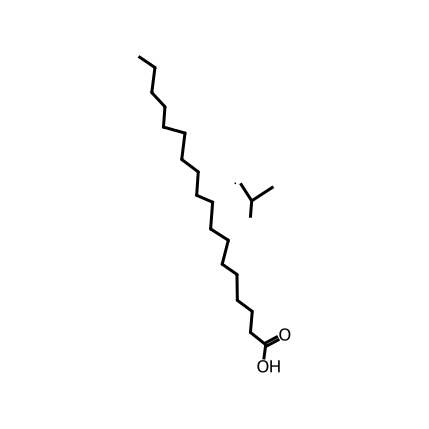 CCCCCCCCCCCCCCCCCC(=O)O.[CH2]C(C)C